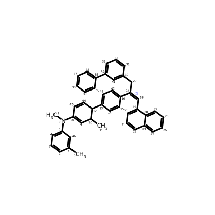 Cc1cccc(N(C)C2=CC(C)C(c3ccc(/C(=C\c4cccc5ccccc45)Cc4cccc(-c5ccccc5)c4)cc3)C=C2)c1